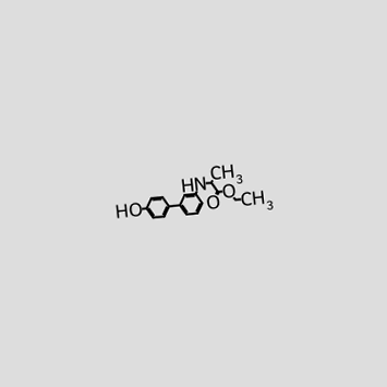 CCOC(=O)C(C)Nc1cccc(-c2ccc(O)cc2)c1